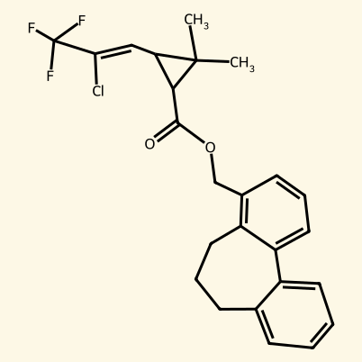 CC1(C)C(C=C(Cl)C(F)(F)F)C1C(=O)OCc1cccc2c1CCCc1ccccc1-2